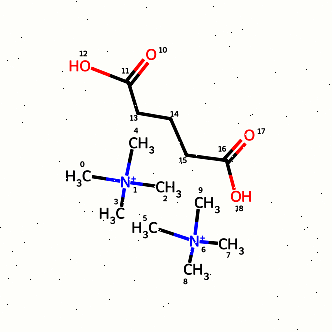 C[N+](C)(C)C.C[N+](C)(C)C.O=C(O)CCCC(=O)O